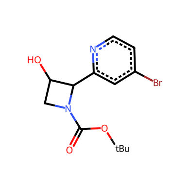 CC(C)(C)OC(=O)N1CC(O)C1c1cc(Br)ccn1